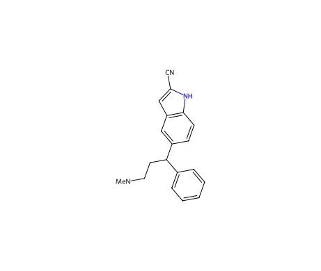 CNCCC(c1ccccc1)c1ccc2[nH]c(C#N)cc2c1